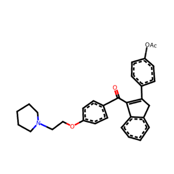 CC(=O)Oc1ccc(C2=C(C(=O)c3ccc(OCCN4CCCCC4)cc3)c3ccccc3C2)cc1